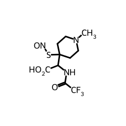 CN1CCC(SN=O)(C(NC(=O)C(F)(F)F)C(=O)O)CC1